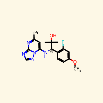 CC(C)c1cc(N[C@@H](c2ccc(OC(F)(F)F)cc2F)C(C)(C)O)n2ncnc2n1